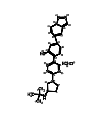 CC(C)(C)NC1CCN(c2ncc(-c3ccc(-c4ccn5nncc5c4)cc3O)nn2)C1.Cl.Cl